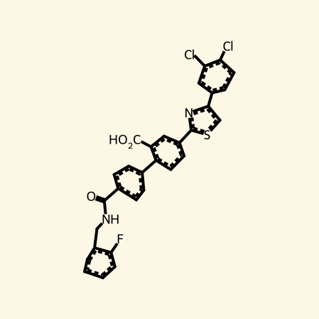 O=C(NCc1ccccc1F)c1ccc(-c2ccc(-c3nc(-c4ccc(Cl)c(Cl)c4)cs3)cc2C(=O)O)cc1